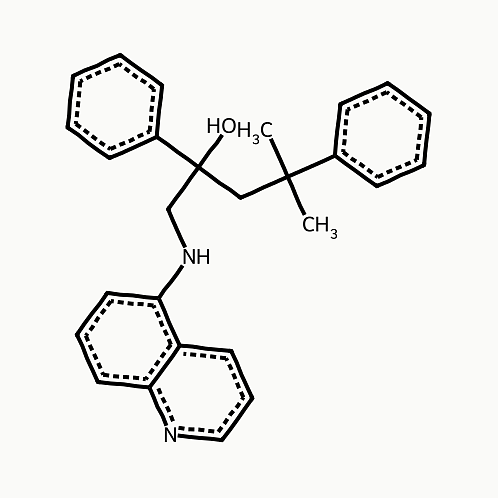 CC(C)(CC(O)(CNc1cccc2ncccc12)c1ccccc1)c1ccccc1